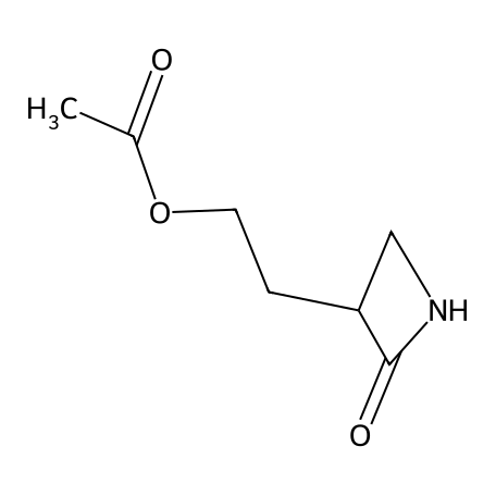 CC(=O)OCCC1CNC1=O